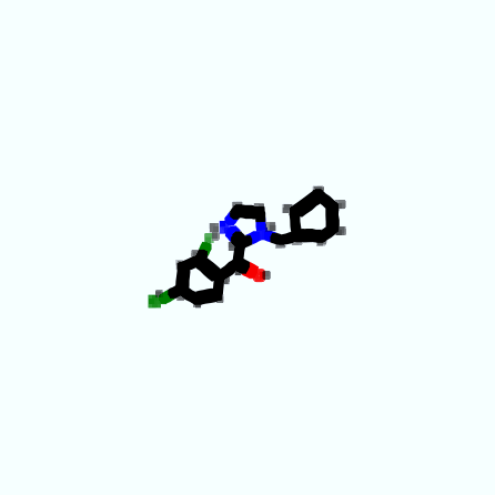 O=C(c1ccc(Br)cc1F)c1nccn1Cc1ccccc1